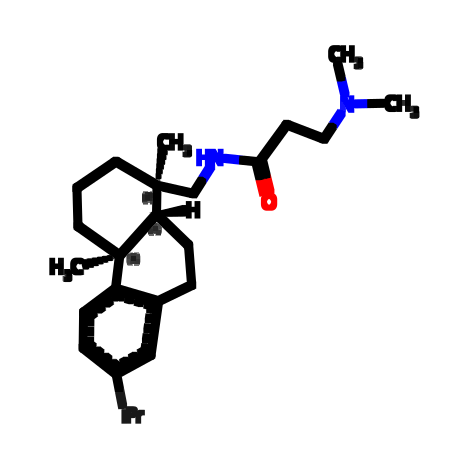 CC(C)c1ccc2c(c1)CC[C@H]1[C@](C)(CNC(=O)CCN(C)C)CCC[C@]21C